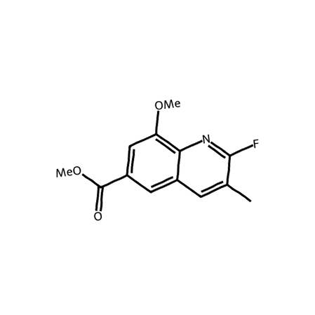 COC(=O)c1cc(OC)c2nc(F)c(C)cc2c1